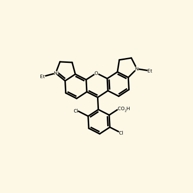 CCN1CCc2c1ccc1c2Oc2c3c(ccc2=C1c1c(Cl)ccc(Cl)c1C(=O)O)=[N+](CC)CC3